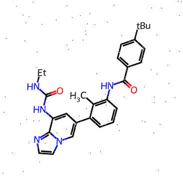 CCNC(=O)Nc1cc(-c2cccc(NC(=O)c3ccc(C(C)(C)C)cc3)c2C)cn2ccnc12